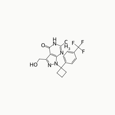 Cc1nc2c(c(CO)nn2C2(c3ccc(C(F)(F)F)cc3)CCC2)c(=O)[nH]1